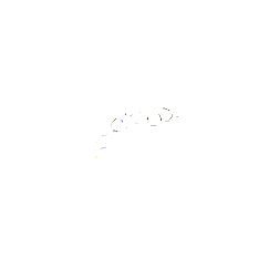 C=C(c1ccc(N2CCN([S+](C)[O-])CC2)cn1)N1CCC2(CCc3cc(C)ccc3O2)CC1